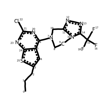 CCCc1cc2c(N3CCn4c(nnc4C(F)(F)F)C3)nc(Cl)nc2s1